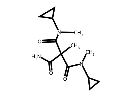 CN(C(=O)C(C)(C(N)=O)C(=O)N(C)C1CC1)C1CC1